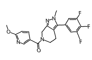 COc1ccc(C(=O)N2CCc3c(nn(C)c3-c3cc(F)c(F)c(F)c3)C2)cn1